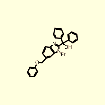 CCn1c(C(O)(c2ccccc2)c2ccccc2)nc2ccc(COc3ccccc3)cc21